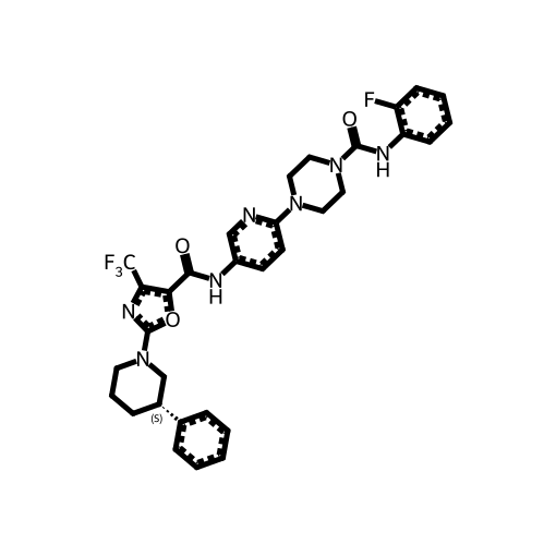 O=C(Nc1ccc(N2CCN(C(=O)Nc3ccccc3F)CC2)nc1)c1oc(N2CCC[C@@H](c3ccccc3)C2)nc1C(F)(F)F